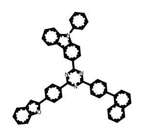 c1ccc(-n2c3ccccc3c3cc(-c4nc(-c5ccc(-c6cc7ccccc7o6)cc5)nc(-c5ccc(-c6cccc7ccccc67)cc5)n4)ccc32)cc1